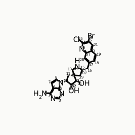 Nc1ncnc2c1ccn2[C@@H]1C[C@@]2(CN[C@@H](Cc3ccc4cc(Br)c(Cl)nc4c3)C2)[C@@H](O)[C@H]1O